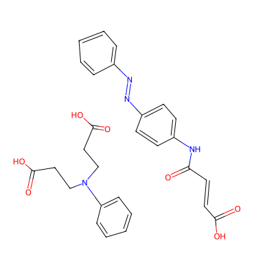 O=C(O)C=CC(=O)Nc1ccc(N=Nc2ccccc2)cc1.O=C(O)CCN(CCC(=O)O)c1ccccc1